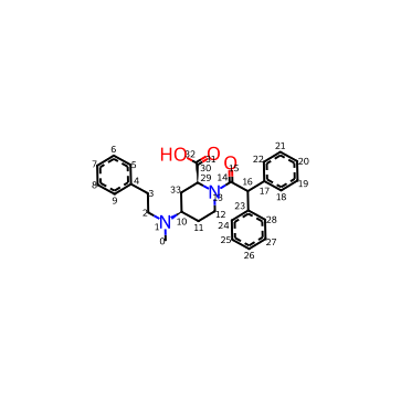 CN(CCc1ccccc1)[C@@H]1CCN(C(=O)C(c2ccccc2)c2ccccc2)[C@H](C(=O)O)C1